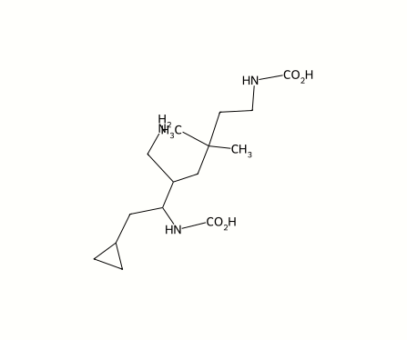 CC(C)(CCNC(=O)O)CC(CN)C(CC1CC1)NC(=O)O